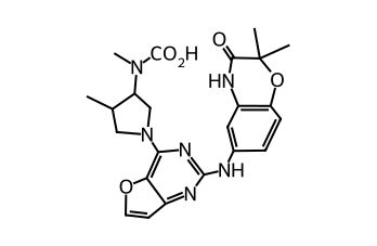 CC1CN(c2nc(Nc3ccc4c(c3)NC(=O)C(C)(C)O4)nc3ccoc23)CC1N(C)C(=O)O